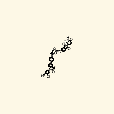 CN(CC1CN(c2ccc(-c3ccc4c(c3)C(C)(C)C(=O)N4c3ccc(C#N)c(Cl)c3)cc2)C1)C(=O)COc1ccc2c(c1)C(=O)N(C1CCC(=O)NC1=O)C2=O